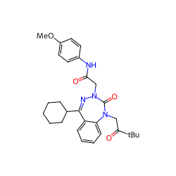 COc1ccc(NC(=O)CN2N=C(C3CCCCC3)c3ccccc3N(CC(=O)C(C)(C)C)C2=O)cc1